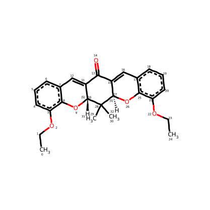 CCOc1cccc2c1O[C@@H]1C(=C2)C(=O)C2=Cc3cccc(OCC)c3O[C@H]2C1(C)C